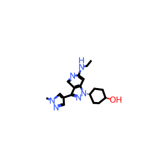 CCNc1cc2c(cn1)c(-c1cnn(C)c1)nn2[C@H]1CC[C@H](O)CC1